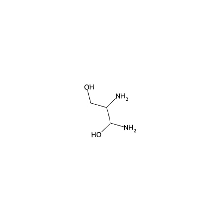 NC(O)C(N)CO